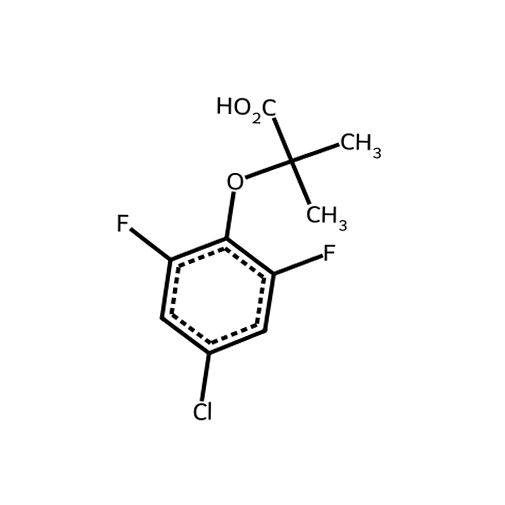 CC(C)(Oc1c(F)cc(Cl)cc1F)C(=O)O